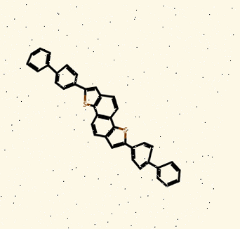 c1ccc(-c2ccc(-c3cc4ccc5c(ccc6cc(-c7ccc(-c8ccccc8)cc7)sc65)c4s3)cc2)cc1